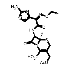 CC(=O)OCC1=C(C(=O)O)N2C(=O)[C@@H](NC(=O)/C(=N\OCF)c3csc(N)n3)[C@H]2SC1